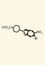 CCOC(=O)C1CCC(n2cc3cc([N+](=O)[O-])c(Br)cc3n2)CC1